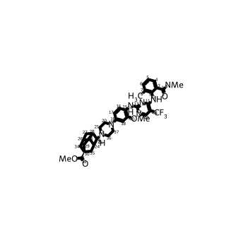 CNC(=O)c1cccc(C)c1Nc1nc(Nc2ccc(N3CCN([C@H]4C5CC6CC4C[C@@](C(=O)OC)(C6)C5)CC3)cc2OC)ncc1C(F)(F)F